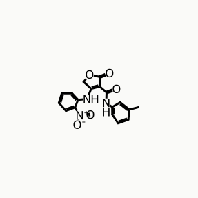 Cc1cccc(NC(=O)C2=C(Nc3ccccc3[N+](=O)[O-])COC2=O)c1